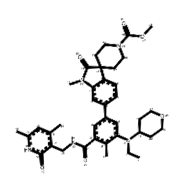 CCN(c1cc(-c2ccc3c(c2)N(C)C(=O)C32CCN(C(=O)OC)CC2)cc(C(=O)NCc2c(C)cc(C)[nH]c2=O)c1C)C1CCOCC1